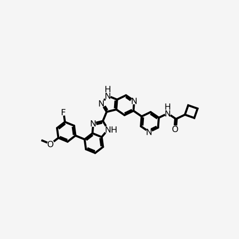 COc1cc(F)cc(-c2cccc3[nH]c(-c4n[nH]c5cnc(-c6cncc(NC(=O)C7CCC7)c6)cc45)nc23)c1